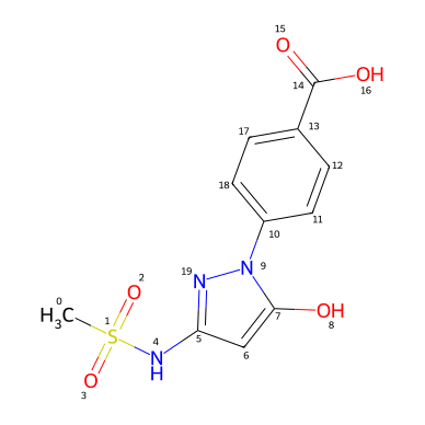 CS(=O)(=O)Nc1cc(O)n(-c2ccc(C(=O)O)cc2)n1